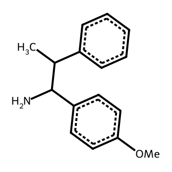 COc1ccc(C(N)C(C)c2ccccc2)cc1